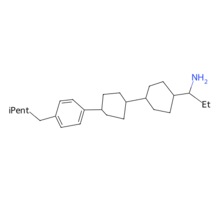 CCCC(C)Cc1ccc(C2CCC(C3CCC(C(N)CC)CC3)CC2)cc1